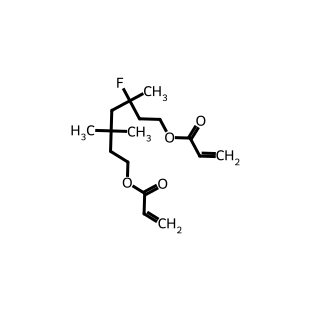 C=CC(=O)OCCC(C)(C)CC(C)(F)CCOC(=O)C=C